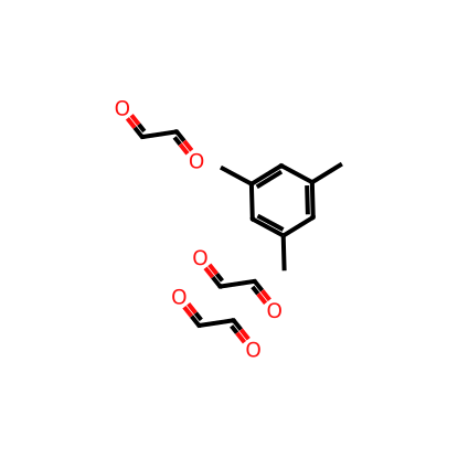 Cc1cc(C)cc(C)c1.O=CC=O.O=CC=O.O=CC=O